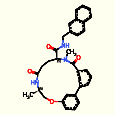 C[C@H]1COc2cccc(c2)-c2cccc(c2)C(=O)N(C)[C@H](C(=O)NCc2ccc3ccccc3c2)CCC(=O)N1